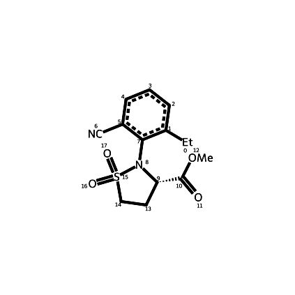 CCc1cccc(C#N)c1N1[C@H](C(=O)OC)CCS1(=O)=O